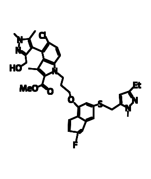 CCc1cc(CSc2cc(OCCCn3c(C(=O)OC)c(C)c4c(-c5c(CO)nn(C)c5C)c(Cl)ccc43)c3ccc(F)cc3c2)n(C)n1